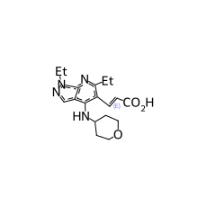 CCc1nc2c(cnn2CC)c(NC2CCOCC2)c1/C=C/C(=O)O